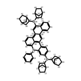 c1ccc(N2c3cc(B(C4CC5CCC4C5)C4CC5CCC4C5)ccc3-c3cc4c5ccccc5c(B(C5CC6CCC5C6)C5CC6CCC5C6)cc4c4cccc2c34)cc1